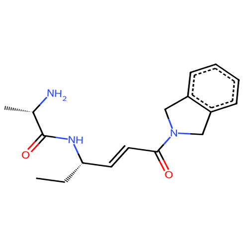 CC[C@@H](/C=C/C(=O)N1Cc2ccccc2C1)NC(=O)[C@H](C)N